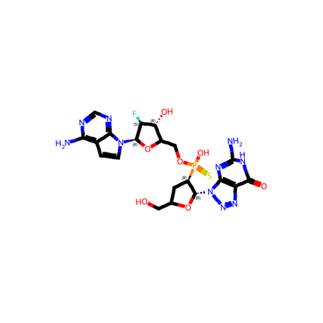 Nc1nc2c(nnn2[C@@H]2OC(CO)C[C@H]2P(O)(=S)OCC2O[C@@H](n3ccc4c(N)ncnc43)[C@@H](F)[C@@H]2O)c(=O)[nH]1